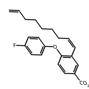 C=CCCCCC/C=C\c1cc(C(=O)O)ccc1Oc1ccc(F)cc1